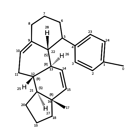 Cc1ccc(C2CCCC3=CC[C@@H]4[C@H](C=C[C@]5(C)CCC[C@@H]45)[C@H]32)cc1